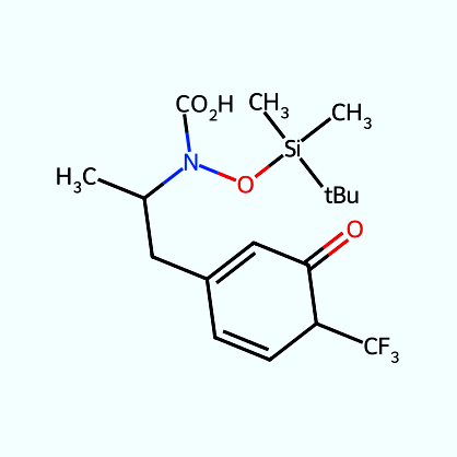 CC(CC1=CC(=O)C(C(F)(F)F)C=C1)N(O[Si](C)(C)C(C)(C)C)C(=O)O